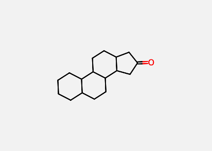 O=C1CC2CCC3C4CCCCC4CCC3C2C1